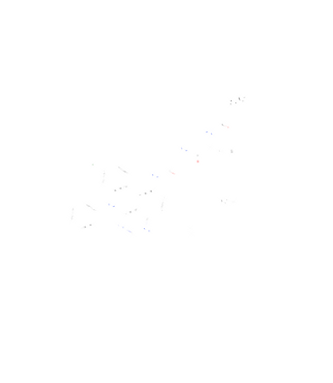 CN[C@@H](C)C(=O)N[C@H](C(=O)N1CCC[C@H]1C(=O)Nc1cc2c(N(c3ccccc3)c3cccc(Cl)c3F)ncnc2cc1OCCOC)C(C)(C)C.Cl